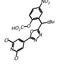 CC(C)(C)C(c1nnc(-c2cc(Cl)nc(Cl)c2)o1)c1cc([N+](=O)[O-])ccc1OC(=O)O